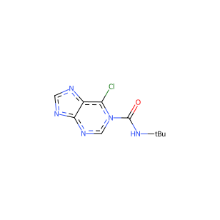 CC(C)(C)NC(=O)n1cnc2ncnc-2c1Cl